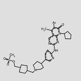 CC(=O)c1c(C)c2cnc(Nc3ccc(C4CCN(CC5CCC(COS(C)(=O)=O)CC5)CC4)cn3)nc2n(C2CCCC2)c1=O